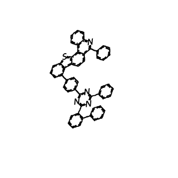 c1ccc(-c2nc(-c3ccc(-c4cccc5sc6c(ccc7c(-c8ccccc8)nc8ccccc8c76)c45)cc3)nc(-c3ccccc3-c3ccccc3)n2)cc1